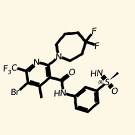 Cc1c(Br)c(C(F)(F)F)nc(N2CCCC(F)(F)CC2)c1C(=O)Nc1cccc([S@](C)(=N)=O)c1